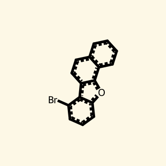 Brc1cccc2oc3c4ccccc4ccc3c12